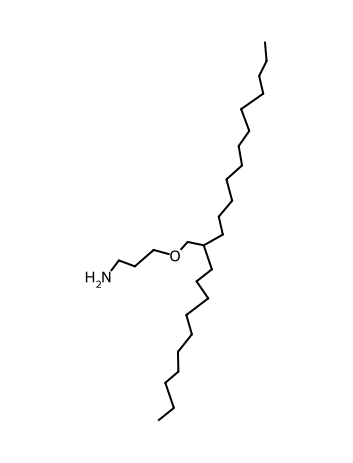 CCCCCCCCCCCCC(CCCCCCCCCC)COCCCN